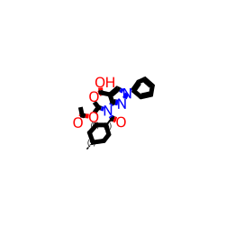 CC(=O)O[C@@H]1C[C@@H](C)CC[C@@H]1C(=O)N(c1nn(-c2ccccc2)cc1C(=O)O)C(C)C